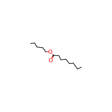 CCCCCCCC(=O)OCCCCC